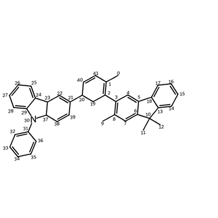 CC1=C(c2cc3c(cc2C)C(C)(C)c2ccccc2-3)CC(C2=CC3c4ccccc4N(c4ccccc4)C3C=C2)C=C1